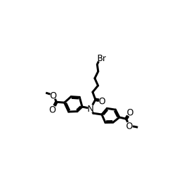 COC(=O)c1ccc(CN(C(=O)CCCCCBr)c2ccc(C(=O)OC)cc2)cc1